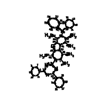 Bc1c(-c2nc(-c3ccccc3)nc(-c3ccccc3)n2)c(B)c2oc3c(B)c(-n4c5ccccc5c5ccccc54)c(B)c(B)c3c2c1B